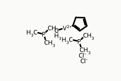 CP(C)C.CP(C)C.[CH3][V+2][C]1=CC=CC1.[Cl-].[Cl-]